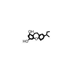 CCC(C)c1ccc2c(c1)CCc1c(O)cc(O)cc1O2